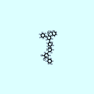 O=c1c(-c2cccnc2Cl)cc(-c2ccccn2)cn1-c1ccccc1.O=c1c(I)cc(-c2ccccn2)cn1-c1ccccc1